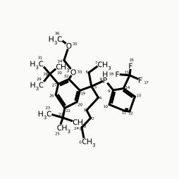 CCCCCC(CC)(Pc1ccccc1C(F)(F)F)c1cc(C(C)(C)C)cc(C(C)(C)C)c1OCOC